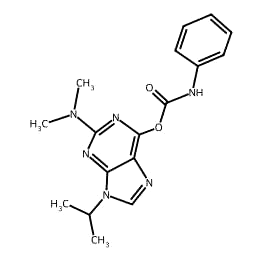 CC(C)n1cnc2c(OC(=O)Nc3ccccc3)nc(N(C)C)nc21